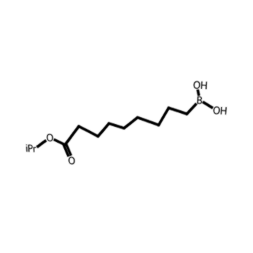 CC(C)OC(=O)CCCCCCCCB(O)O